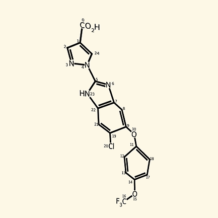 O=C(O)c1cnn(-c2nc3cc(Oc4ccc(OC(F)(F)F)cc4)c(Cl)cc3[nH]2)c1